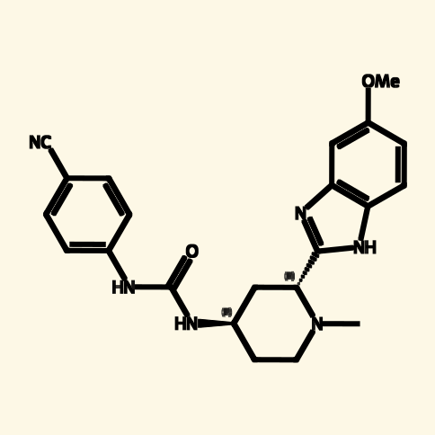 COc1ccc2[nH]c([C@H]3C[C@H](NC(=O)Nc4ccc(C#N)cc4)CCN3C)nc2c1